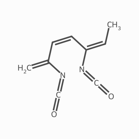 C=C(/C=C\C(=C/C)N=C=O)N=C=O